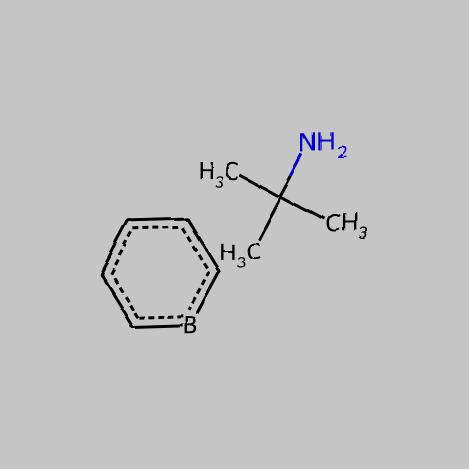 CC(C)(C)N.b1ccccc1